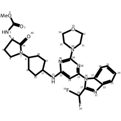 COC(=O)N[C@H]1CCN(C2CCC(Nc3cc(-n4c(C(F)F)nc5ccccc54)nc(N4CCOCC4)n3)CC2)C1=O